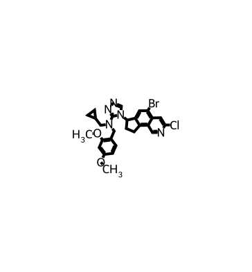 COc1ccc(CN(CC2CC2)c2nncn2C2CCc3c2cc(Br)c2cc(Cl)ncc32)c(OC)c1